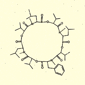 CC(C)CC1C(=O)OC(C(C)C)C(=O)N(C)C(Cc2ccccc2)C(=O)OC(C(C)C)C(=O)N(C)C(CC(C)C)C(=O)OC(C(C)C)C(=O)N(C)C(CC(C)C)C(=O)OC(C(C)C)C(=O)N1C